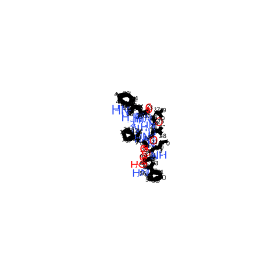 CC[C@H](C)[C@H](NC(=O)[C@H](Cc1c[nH]c2ccccc12)NC(=O)[C@@H](NC(=O)[C@H](CC(C)C)NC(=O)[C@@H](N)Cc1c[nH]c2ccccc12)C(C)C)C(=O)N[C@@H](Cc1c[nH]c2ccccc12)C(=O)O